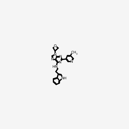 Cc1cncc(-c2nc(NCCc3c[nH]c4ccccc34)c3ncn(C4COC4)c3n2)c1